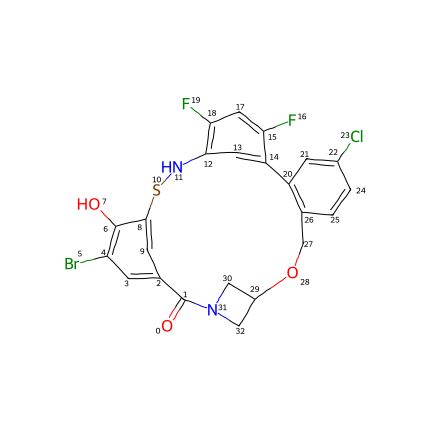 O=C1c2cc(Br)c(O)c(c2)SNc2cc(c(F)cc2F)-c2cc(Cl)ccc2COC2CN1C2